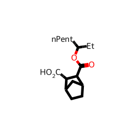 CCCCCC(CC)OC(=O)C1C2CCC(C2)C1C(=O)O